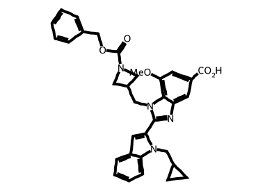 COc1cc(C(=O)O)cc2nc(-c3cc4ccccc4n3CC3CC3)n(CC3CN(C(=O)OCc4ccccc4)C3)c12